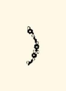 O=C(Oc1ccc(OCCC2CO2)cc1)c1ccc(OCCCCOCC2CCC3OC3C2)cc1